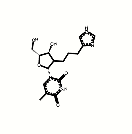 Cc1cn([C@@H]2O[C@H](CO)[C@@H](O)C2CCCc2c[nH]cn2)c(=O)[nH]c1=O